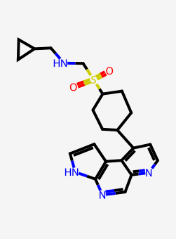 O=S(=O)(CNCC1CC1)C1CCC(c2ccnc3cnc4[nH]ccc4c23)CC1